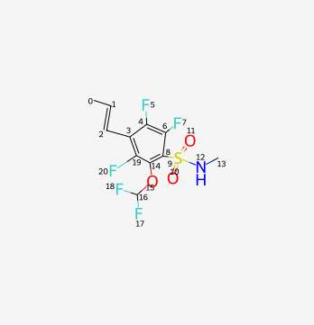 C/C=C/c1c(F)c(F)c(S(=O)(=O)NC)c(OC(F)F)c1F